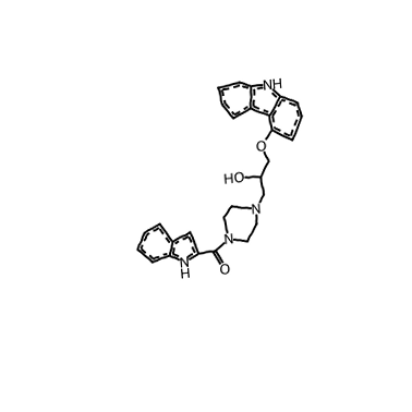 O=C(c1cc2ccccc2[nH]1)N1CCN(CC(O)COc2cccc3[nH]c4ccccc4c23)CC1